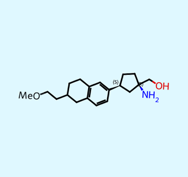 COCCC1CCc2cc([C@H]3CC[C@](N)(CO)C3)ccc2C1